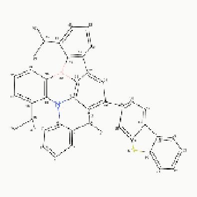 CC(C)c1ccccc1N1c2cc(-c3ccc4c(c3)sc3ccccc34)cc3c2B(c2cccc(C(C)C)c21)c1c-3cccc1C(C)C